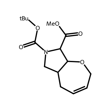 COC(=O)C1C2OCC=CCC2CN1C(=O)OC(C)(C)C